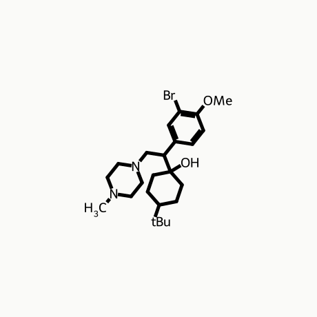 COc1ccc(C(CN2CCN(C)CC2)C2(O)CCC(C(C)(C)C)CC2)cc1Br